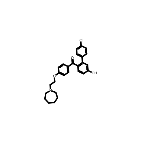 O=C(c1ccc(OCCN2CCCCCC2)cc1)c1ccc(O)cc1-c1ccc(Cl)cc1